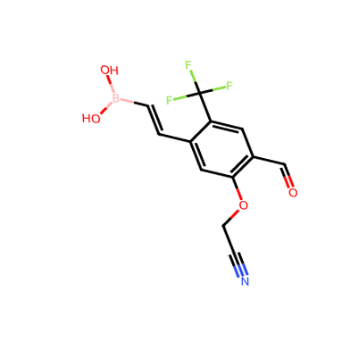 N#CCOc1cc(/C=C/B(O)O)c(C(F)(F)F)cc1C=O